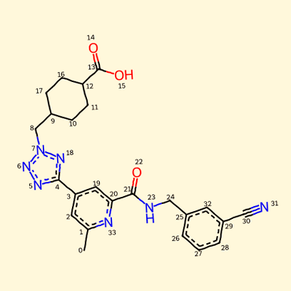 Cc1cc(-c2nnn(CC3CCC(C(=O)O)CC3)n2)cc(C(=O)NCc2cccc(C#N)c2)n1